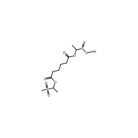 CCCOS(=O)C(C)OC(=O)CCCCC(=O)OC(C)S(C)(=O)=O